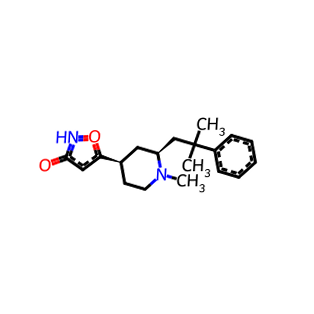 CN1CC[C@@H](c2cc(=O)[nH]o2)C[C@H]1CC(C)(C)c1ccccc1